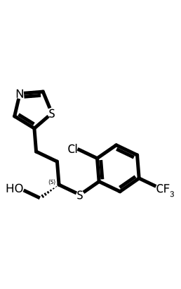 OC[C@H](CCc1cncs1)Sc1cc(C(F)(F)F)ccc1Cl